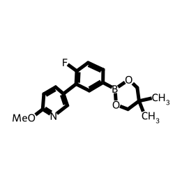 COc1ccc(-c2cc(B3OCC(C)(C)CO3)ccc2F)cn1